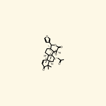 CC(=O)C[C@@H]1C[C@H]2C(C)(C)C(=O)C=C[C@]2(C)[C@H]2CC[C@@]3(C)C(c4ccoc4)OC(=O)[C@H]4O[C@]43[C@]12C